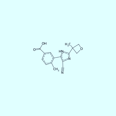 Cc1ccc(C(=O)O)cc1-c1[nH]c(C2(C)COC2)nc1C#N